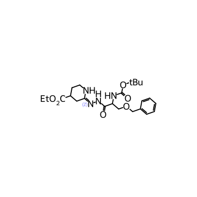 CCOC(=O)C1CCN/C(=N\NC(=O)C(COCc2ccccc2)NC(=O)OC(C)(C)C)C1